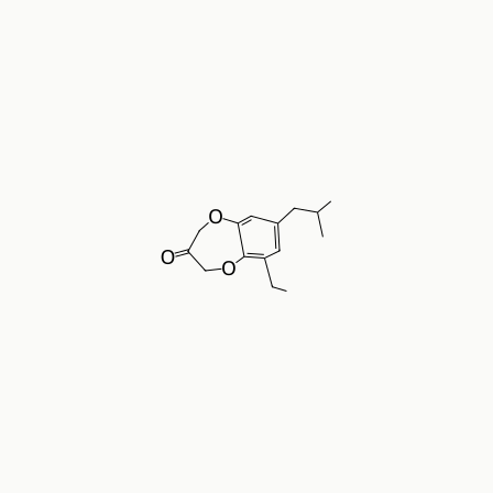 CCc1cc(CC(C)C)cc2c1OCC(=O)CO2